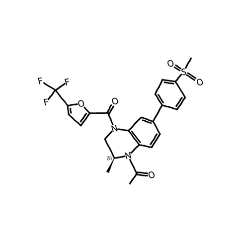 CC(=O)N1c2ccc(-c3ccc(S(C)(=O)=O)cc3)cc2N(C(=O)c2ccc(C(F)(F)F)o2)C[C@@H]1C